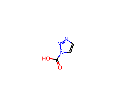 O=C(O)n1ccnn1